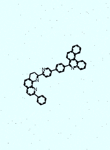 c1ccc(-c2ccc3ccc4c(c3n2)N=C(c2ccc(-c3ccc(-c5nc6ccccc6c6c5ccc5ccccc56)cc3)cn2)CC4)cc1